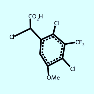 COc1cc(C(Cl)C(=O)O)c(Cl)c(C(F)(F)F)c1Cl